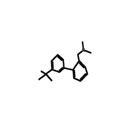 CN(C)Cc1ccccc1-c1cccc(C(C)(C)C)c1